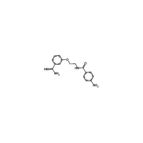 N=C(N)c1cccc(OCCNC(=O)c2ccc([N+](=O)[O-])cc2)c1